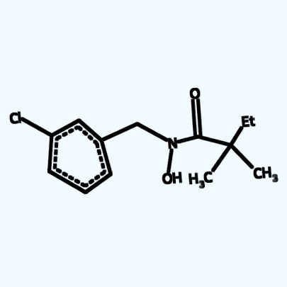 CCC(C)(C)C(=O)N(O)Cc1cccc(Cl)c1